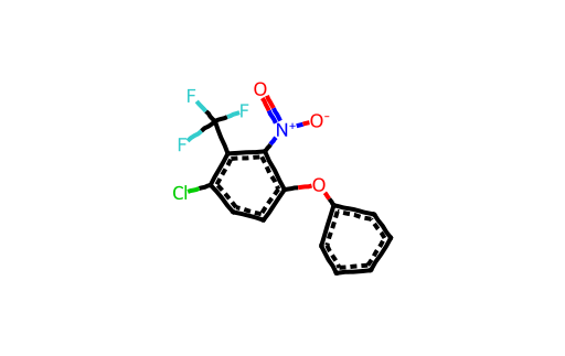 O=[N+]([O-])c1c(Oc2ccccc2)ccc(Cl)c1C(F)(F)F